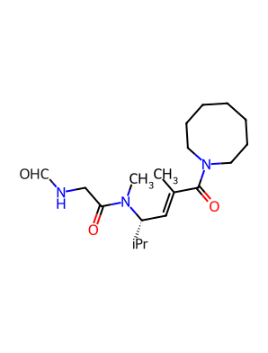 C/C(=C\[C@H](C(C)C)N(C)C(=O)CNC=O)C(=O)N1CCCCCCC1